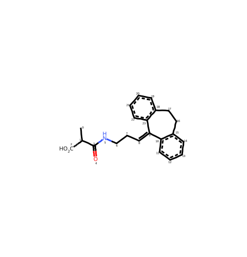 CC(C(=O)O)C(=O)NCCC=C1c2ccccc2CCc2ccccc21